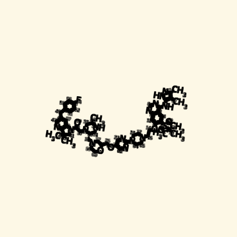 Cc1n[nH]c(Nc2ncnc3cc(OCCN4CCN(c5ncc(OCC6CN(C[C@H]7CN[C@H](C)CN7CC(=O)N7CC(C)(C)c8ncc(Cc9ccc(F)cc9)cc87)CCO6)cn5)CC4)c(S(=O)(=O)C(C)(C)C)cc23)c1C